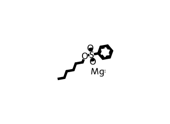 CCCCCCOS(=O)(=O)c1ccccc1.[Mg]